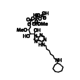 COOP(=O)(OP(=O)(O)O)OP(=O)(O)OCC(OC)C(O)C(O)n1cnc2c(NCCCCCCNC3CCCCCCC3)ncnc21